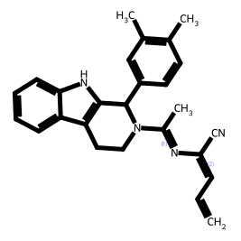 C=C/C=C(C#N)\N=C(/C)N1CCc2c([nH]c3ccccc23)C1c1ccc(C)c(C)c1